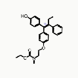 CCOC(=O)N(C)CCOc1ccc(/C(=C(/CC)c2ccccc2)c2ccc(O)cc2)cc1